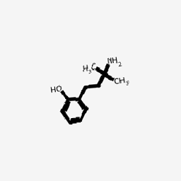 CC(C)(N)CCc1ccccc1O